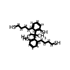 CCC(C)(c1c(S)cccc1CCCCS)c1c(S)cccc1CCCCS